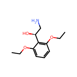 CCOc1cccc(OCC)c1[C@@H](O)CN